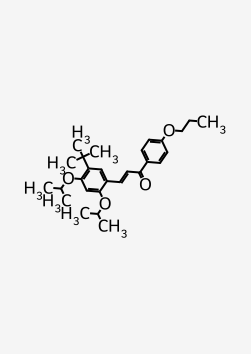 CCCOc1ccc(C(=O)C=Cc2cc(C(C)(C)C)c(OC(C)C)cc2OC(C)C)cc1